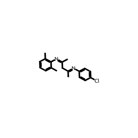 CC(CC(C)=Nc1c(C)cccc1C)=Nc1ccc(Cl)cc1